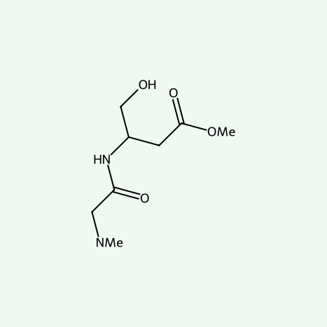 CNCC(=O)NC(CO)CC(=O)OC